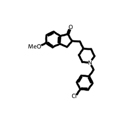 COc1ccc2c(c1)CC(CC1CCN(Cc3ccc(Cl)cc3)CC1)C2=O